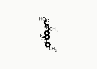 CC(c1ccc2c(C(F)F)c(O[C@H]3CC[C@@H](C)CC3)ccc2c1)N1CC(CC(=O)O)C1